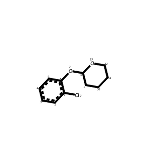 Clc1ccccc1OC1CCCCO1